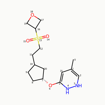 CC1=CNNC(O[C@@H]2CCC(CCS(=O)(=O)C3COC3)C2)=C1